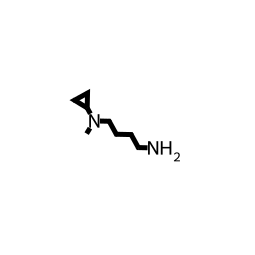 CN(CCCCN)C1CC1